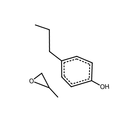 CC1CO1.CCCc1ccc(O)cc1